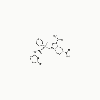 NC(=O)c1cn(CS(=O)(=O)N2CC=CCC2C(=O)Nc2cccc(Br)n2)c2ccc(C(=O)O)cc12